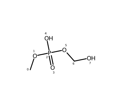 COP(=O)(O)OCO